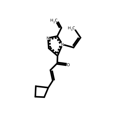 C=Cc1ncc(C(=O)/C=C/C2CCC2)n1/C=C\C